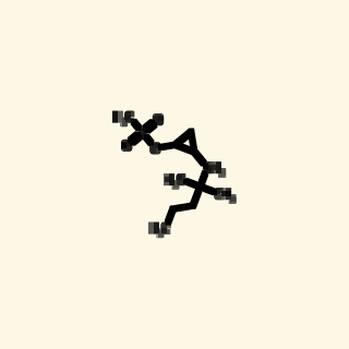 CCCC(C)(C)[SiH2]C1CC1OS(C)(=O)=O